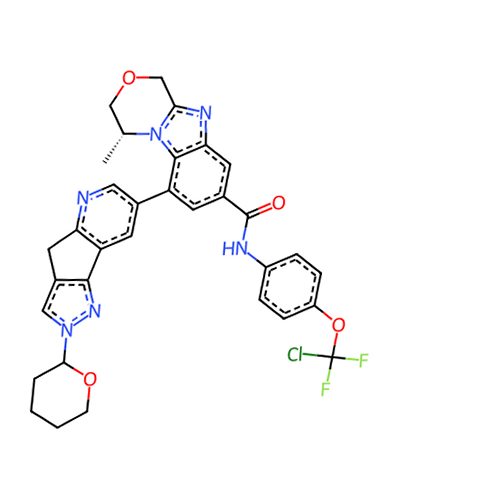 C[C@@H]1COCc2nc3cc(C(=O)Nc4ccc(OC(F)(F)Cl)cc4)cc(-c4cnc5c(c4)-c4nn(C6CCCCO6)cc4C5)c3n21